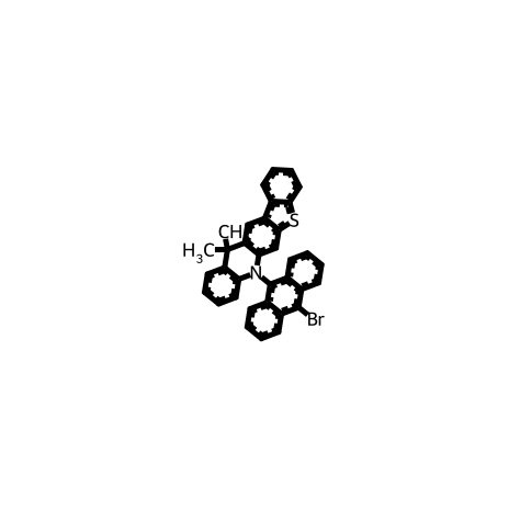 CC1(C)c2ccccc2N(c2c3ccccc3c(Br)c3ccccc23)c2cc3sc4ccccc4c3cc21